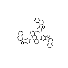 c1ccc2c(c1)ccc1oc3ccc(-c4cccc5c(-c6ccc7oc8ccc9ccccc9c8c7c6)c6cccc(-c7ccc8oc9ccc%10ccccc%10c9c8c7)c6cc45)cc3c12